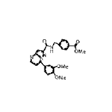 COC(=O)c1ccc(CNC(=O)c2cc3nccc(-c4ccc(OC)c(OC)c4)n3n2)cc1